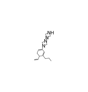 C=CC1CC=C(N2CN(N3CNC3)C2)C=C1CCC